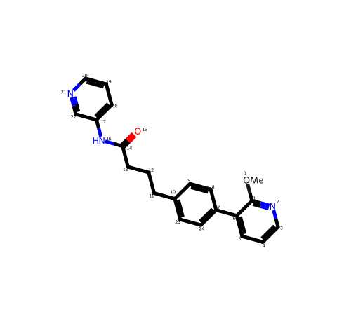 COc1ncccc1-c1ccc(CCCC(=O)Nc2cccnc2)cc1